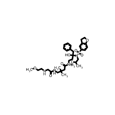 COCCNCC(=O)NCC(C)(C)CC(=O)NCCC(O)(Cc1ccccc1)N(CC(C)C)S(=O)(=O)c1ccc2c(c1)CCO2